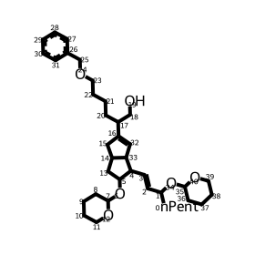 CCCCCC(C=CC1C(OC2CCCCO2)CC2CC(C(CO)CCCCOCc3ccccc3)=CC21)OC1CCCCO1